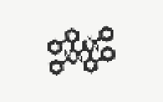 c1ccc(-c2cnc(-c3cnc(-c4ccccc4)nc3-c3ccccc3-c3ccccc3)c(-c3ccccc3-c3ccccc3)n2)cc1